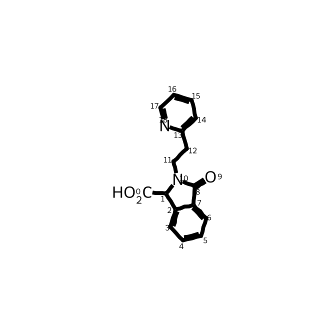 O=C(O)C1c2ccccc2C(=O)N1CCc1ccccn1